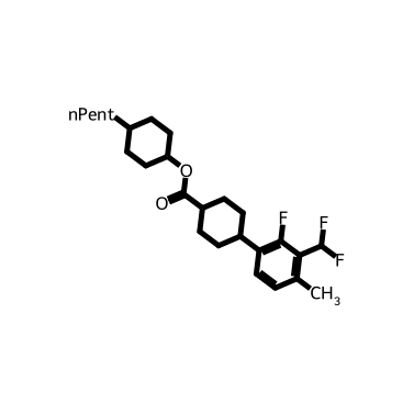 CCCCCC1CCC(OC(=O)C2CCC(c3ccc(C)c(C(F)F)c3F)CC2)CC1